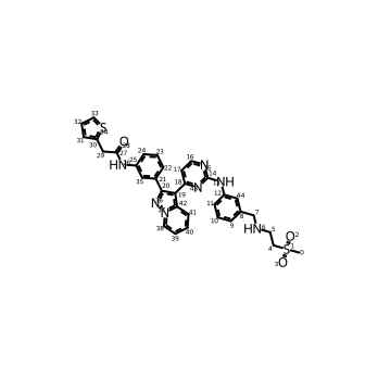 CS(=O)(=O)CCNCc1cccc(Nc2nccc(-c3c(-c4cccc(NC(=O)Cc5cccs5)c4)nn4ccccc34)n2)c1